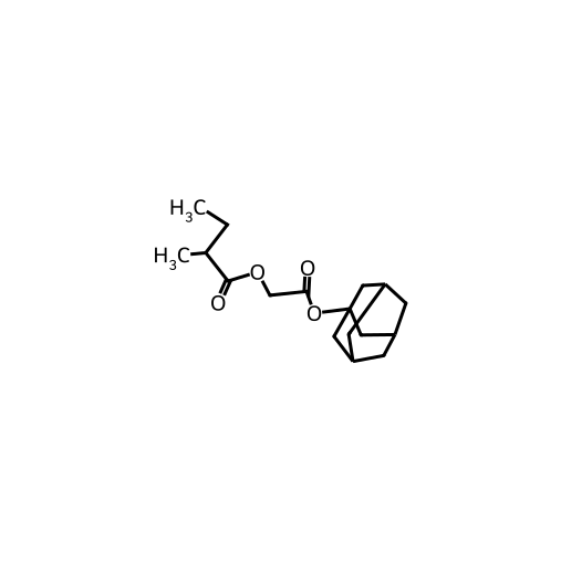 CCC(C)C(=O)OCC(=O)OC12CC3CC(CC(C3)C1)C2